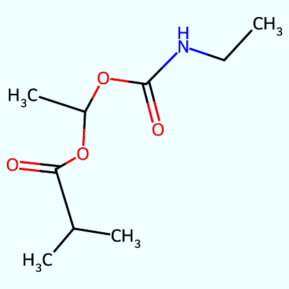 CCNC(=O)OC(C)OC(=O)C(C)C